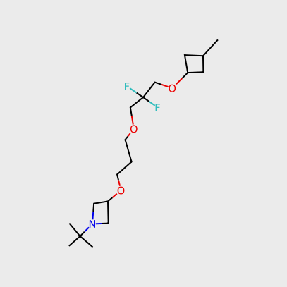 CC1CC(OCC(F)(F)COCCCOC2CN(C(C)(C)C)C2)C1